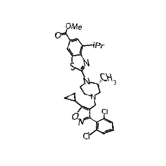 COC(=O)c1cc(C(C)C)c2nc(N3CCN(Cc4c(-c5c(Cl)cccc5Cl)noc4C4CC4)C[C@H]3C)sc2c1